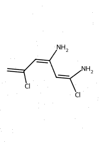 C=C(Cl)/C=C(N)\C=C(/N)Cl